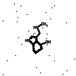 CNCc1c[nH]c2cccc(O)c12